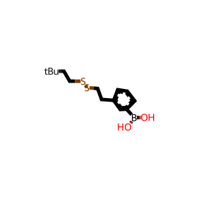 CC(C)(C)CCSSCCc1cccc(B(O)O)c1